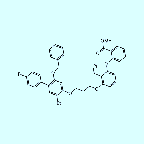 CCc1cc(-c2ccc(F)cc2)c(OCc2ccccc2)cc1OCCCOc1cccc(Oc2ccccc2C(=O)OC)c1CC(C)C